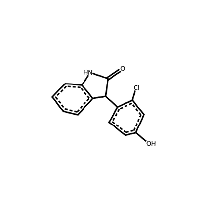 O=C1Nc2ccccc2C1c1ccc(O)cc1Cl